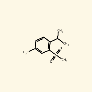 Cc1ccc(C(C)C)c(S(C)(=O)=O)c1